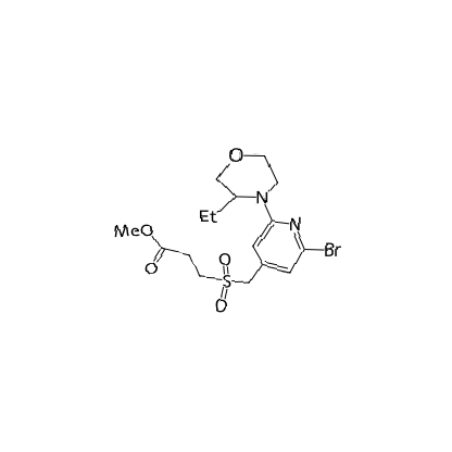 CCC1COCCN1c1cc(CS(=O)(=O)CCC(=O)OC)cc(Br)n1